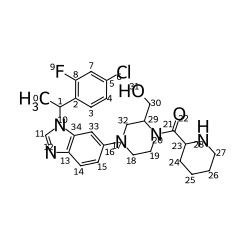 CC(c1ccc(Cl)cc1F)n1cnc2ccc(N3CCN(C(=O)C4CCCCN4)C(CO)C3)cc21